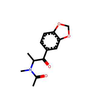 CC(=O)N(C)C(C)C(=O)c1ccc2c(c1)OCO2